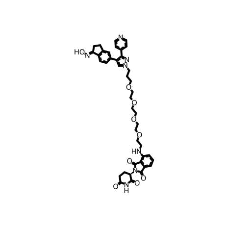 O=C1CC[C@@H](N2C(=O)c3cccc(NCCOCCOCCOCCOCCCn4cc(-c5ccc6c(c5)CC/C6=N\O)c(-c5ccncc5)n4)c3C2=O)C(=O)N1